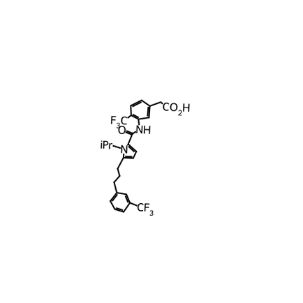 CC(C)n1c(CCCc2cccc(C(F)(F)F)c2)ccc1C(=O)Nc1cc(CC(=O)O)ccc1C(F)(F)F